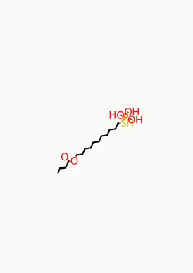 CC=CC(=O)OCCCCCCCCCCC[SH]=P(O)(O)O